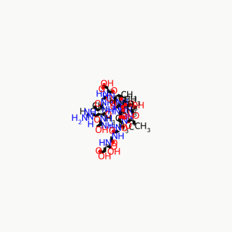 CC(C)C[C@H](NC(=O)[C@H](CCCNC(=N)N)NC(=O)[C@@H](N)CO)C(=O)NCC(=O)N[C@@H](CC(=O)O)C(=O)N[C@@H](CC(C)C)C(=O)N[C@H](C(=O)N[C@H](C(=O)N[C@H](C(=O)N[C@@H](CO)C(=O)N[C@@H](CC(C)C)C(=O)N1CCC[C@H]1C(=O)NCC(=O)NCC(=O)N[C@@H](CCC(=O)O)C(=O)O)C(C)C)[C@@H](C)O)C(C)C